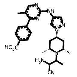 Cc1cnc(Nc2cnn([C@@H]3C[C@@H](C)N(C(C)[C@H](N)C#N)[C@@H](C)C3)c2)nc1-c1ccc(C(=O)O)cc1